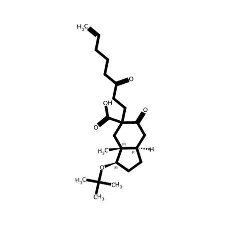 C=CCCCC(=O)CCC1(C(=O)O)C[C@]2(C)[C@H](CC[C@H]2OC(C)(C)C)CC1=O